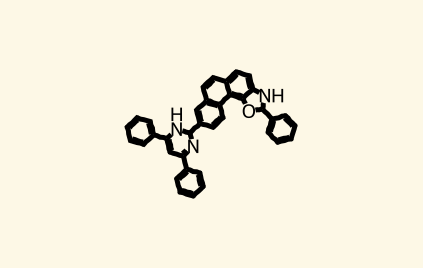 C1=C(c2ccccc2)NC(c2ccc3c(ccc4ccc5c(c43)OC(c3ccccc3)N5)c2)N=C1c1ccccc1